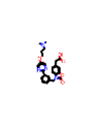 CN(C)CCCOc1cnc(-c2cccc(Cn3c(=O)oc4cc(CC(=O)O)ccc43)c2)nc1